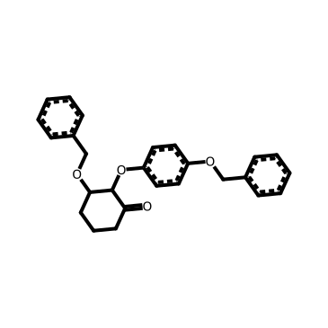 O=C1CCCC(OCc2ccccc2)C1Oc1ccc(OCc2ccccc2)cc1